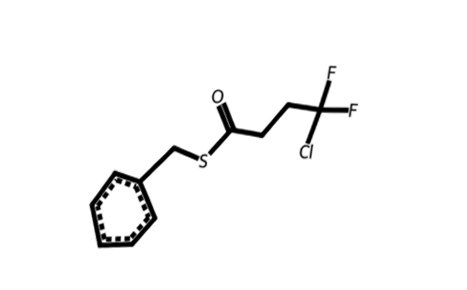 O=C(CCC(F)(F)Cl)SCc1ccccc1